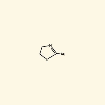 [Au][C]1=NCCS1